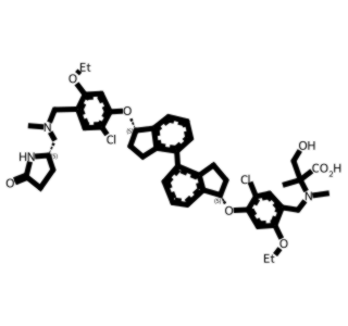 CCOc1cc(O[C@H]2CCc3c(-c4cccc5c4CC[C@@H]5Oc4cc(OCC)c(CN(C)C(C)(CO)C(=O)O)cc4Cl)cccc32)c(Cl)cc1CN(C)C[C@@H]1CCC(=O)N1